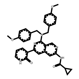 COc1ccc(CN(Cc2ccc(OC)cc2)c2nc(-c3ccc[nH]c3=O)cc3cc(NC(=O)C4CC4)ncc23)cc1